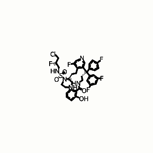 O=C(NCC[C@](c1ccc(F)cc1)(c1cc(F)cc(F)c1)c1cncc(F)c1CC[C@H]1CNCCN1S(=O)(=O)NC[C@H](F)CCl)c1ccccc1O